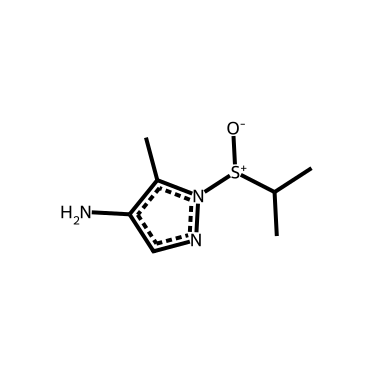 Cc1c(N)cnn1[S+]([O-])C(C)C